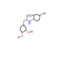 CCOc1ccc(CC(Nc2ccc(C#N)cc2)C(=O)O)cc1OCC